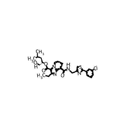 CCc1nc2c(C(=O)NCc3csc(-c4cccc(Cl)c4)n3)cccn2c1C(=O)O[C@H](CO)CC(C)C